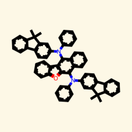 CC1(C)c2ccccc2-c2ccc(N(c3ccccc3)c3c4ccccc4c(N(c4ccccc4)c4ccc5c(c4)C(C)(C)c4ccccc4-5)c4c3oc3ccccc34)cc21